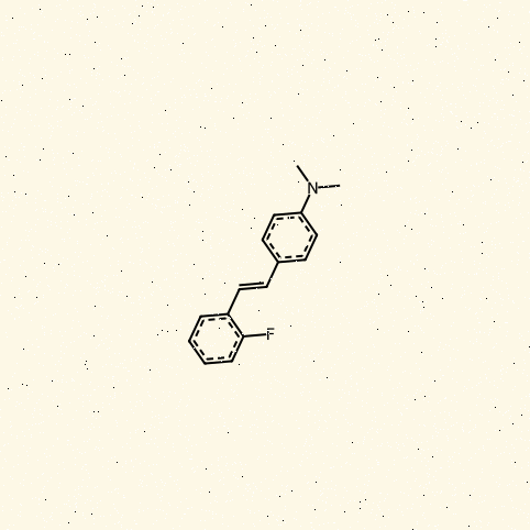 CN(C)c1ccc(/C=C/c2ccccc2F)cc1